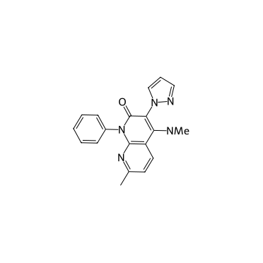 CNc1c(-n2cccn2)c(=O)n(-c2ccccc2)c2nc(C)ccc12